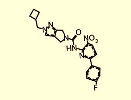 O=C(Nc1nc(-c2ccc(F)cc2)ccc1[N+](=O)[O-])N1Cc2cn(CC3CCC3)nc2C1